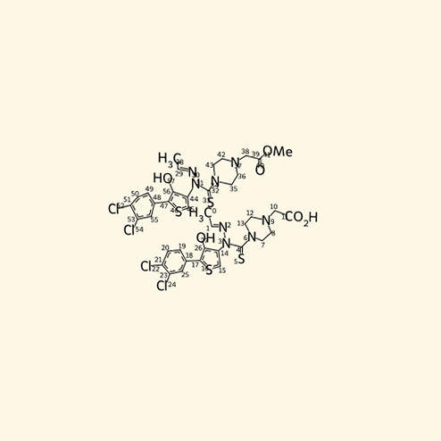 CC=NN(C(=S)N1CCN(CC(=O)O)CC1)c1csc(-c2ccc(Cl)c(Cl)c2)c1O.CC=NN(C(=S)N1CCN(CC(=O)OC)CC1)c1csc(-c2ccc(Cl)c(Cl)c2)c1O